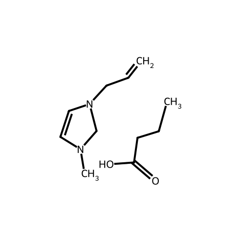 C=CCN1C=CN(C)C1.CCCC(=O)O